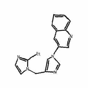 CCc1nccn1Cc1cn(-c2cnc3ccccc3c2)cn1